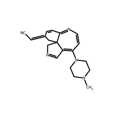 CN1CCN(C2=C3C=NCC34C/C(=C/C#N)C=CC4=NC=C2)CC1